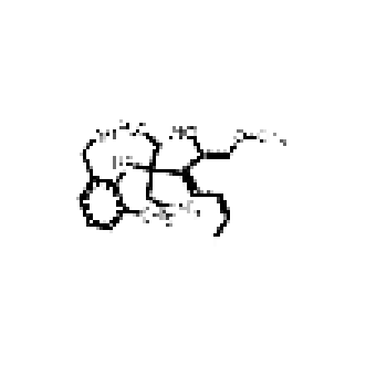 CCC(CC)(Pc1c(C)cccc1CS)C(=C/C=C\I)/C(O)=C/OC